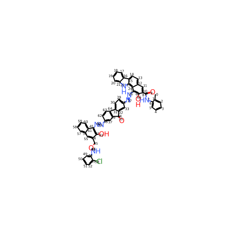 Cc1ccccc1NC(=O)c1cc2ccc3c4ccccc4[nH]c3c2c(N=Nc2ccc3c(c2)C(=O)c2cc(N=Nc4c(O)c(CONc5ccccc5Cl)cc5ccccc45)ccc2-3)c1O